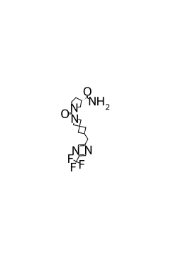 NC(=O)[C@H]1CCN(C(=O)N2CC3(CC(Cc4cnc(C(F)(F)F)cn4)C3)C2)C1